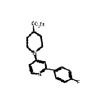 CCOC(=O)C1CCN(c2ccnc(-c3ccc(F)cc3)c2)CC1